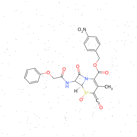 CC1=C(C(=O)OCc2ccc([N+](=O)[O-])cc2)N2C(=O)C(NC(=O)COc3ccccc3)[C@@H]2[S+]([O-])C1=C=O